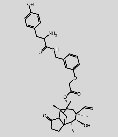 C=C[C@]1(C)C[C@@H](OC(=O)COc2cccc(CNC(=O)[C@H](N)Cc3ccc(O)cc3)c2)[C@]2(C)C(C)CCC3(CCC(=O)C32)[C@@H](C)[C@@H]1O